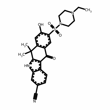 CCN1CCN(S(=O)(=O)c2cc3c(cc2O)C(C)(C)c2[nH]c4cc(C#N)ccc4c2C3=O)CC1